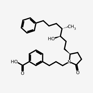 C[C@@H](CCCc1ccccc1)[C@H](O)CC[C@H]1CCC(=O)N1CCCc1cccc(C(=O)O)c1